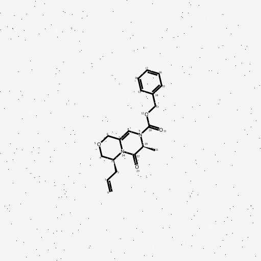 C=CC[C@H]1COCC2=CN(C(=O)OCc3ccccc3)[C@@H](C)C(=O)N21